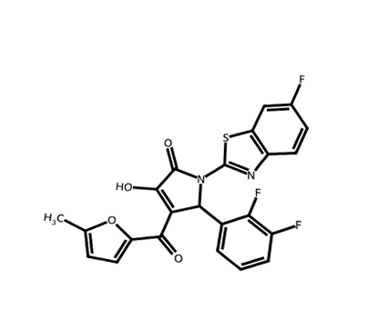 Cc1ccc(C(=O)C2=C(O)C(=O)N(c3nc4ccc(F)cc4s3)C2c2cccc(F)c2F)o1